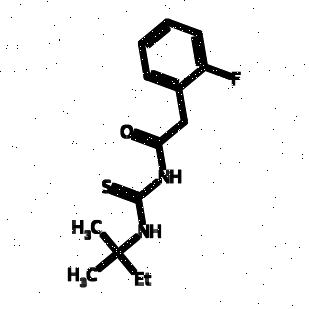 CCC(C)(C)NC(=S)NC(=O)Cc1ccccc1F